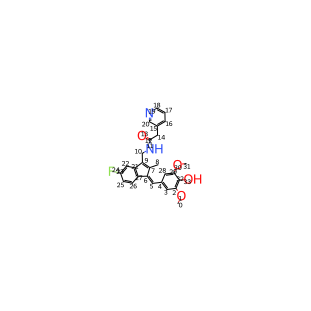 COc1cc(C=C2C(C)=C(CNC(=O)Cc3cccnc3)c3cc(F)ccc32)cc(OC)c1O